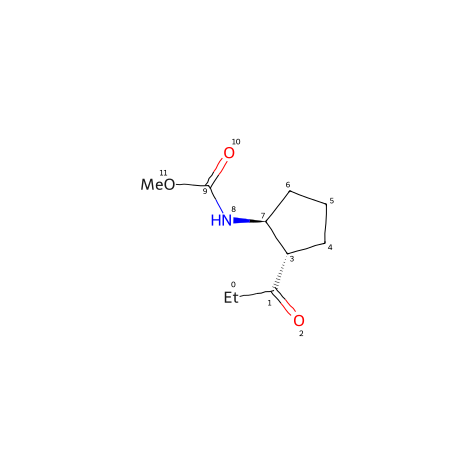 CCC(=O)[C@H]1CCC[C@@H]1NC(=O)OC